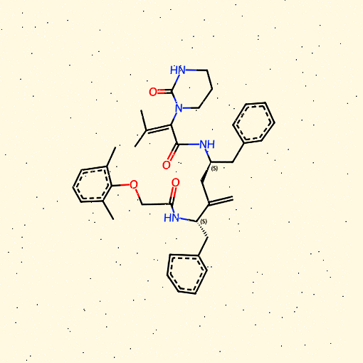 C=C(C[C@H](Cc1ccccc1)NC(=O)C(=C(C)C)N1CCCNC1=O)[C@H](Cc1ccccc1)NC(=O)COc1c(C)cccc1C